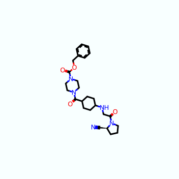 N#C[C@@H]1CCCN1C(=O)CNC1CCC(C(=O)N2CCN(C(=O)OCc3ccccc3)CC2)CC1